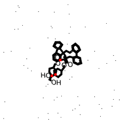 CC(Cc1ccccc1-c1ccccc1CCC1(CC(C)C(=O)OCC2CCC(CO)CC2)c2ccccc2-c2ccccc21)C(=O)OCC1CCC(CO)CC1